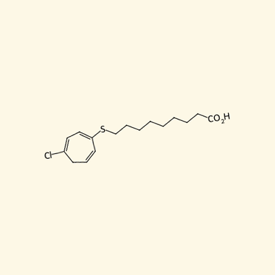 O=C(O)CCCCCCCCSC1=CC=C(Cl)CC=C1